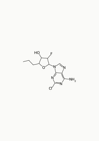 CCCC1OC(n2cnc3c(N)nc(Cl)nc32)C(F)C1O